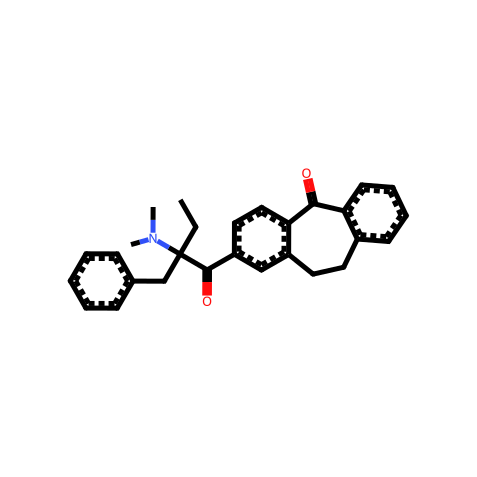 CCC(Cc1ccccc1)(C(=O)c1ccc2c(c1)CCc1ccccc1C2=O)N(C)C